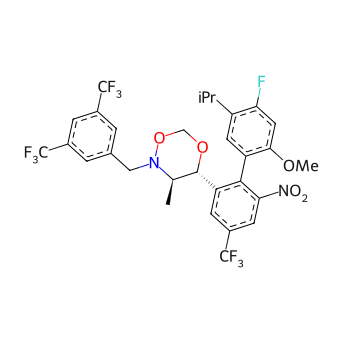 COc1cc(F)c(C(C)C)cc1-c1c([C@H]2OCON(Cc3cc(C(F)(F)F)cc(C(F)(F)F)c3)[C@@H]2C)cc(C(F)(F)F)cc1[N+](=O)[O-]